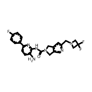 Nc1ccc(-c2ccc(F)cc2)nc1NC(=O)N1Cc2cnc(CN3CC(F)(F)C3)cc2C1